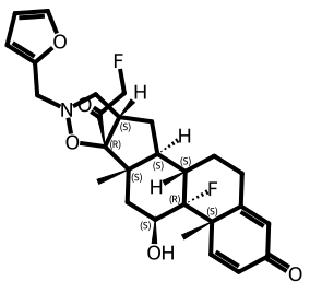 C[C@]12C=CC(=O)C=C1CC[C@H]1[C@@H]3C[C@H]4CN(Cc5ccco5)O[C@@]4(C(=O)CF)[C@@]3(C)C[C@H](O)[C@@]12F